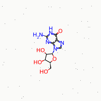 Nc1nc2c(ncn2[C@H]2O[C@@H](CO)[C@@H](O)C2O)c(=O)[nH]1